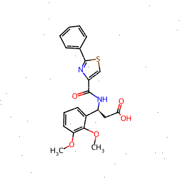 COc1cccc([C@H](CC(=O)O)NC(=O)c2csc(-c3ccccc3)n2)c1OC